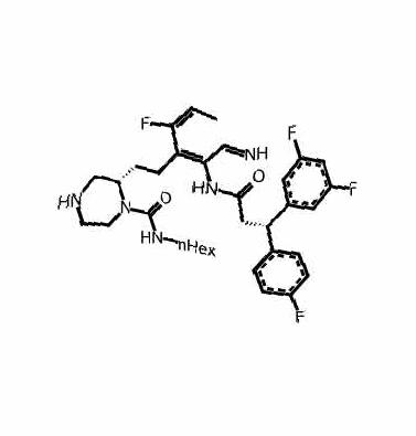 C/C=C(F)\C(CC[C@H]1CNCCN1C(=O)NCCCCCC)=C(/C=N)NC(=O)C[C@@H](c1ccc(F)cc1)c1cc(F)cc(F)c1